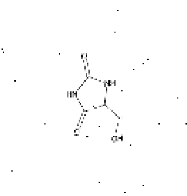 O=C1NC(=O)C([CH]O)N1